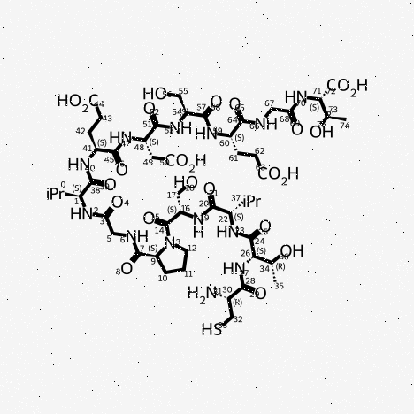 CC(C)[C@H](NC(=O)CNC(=O)[C@@H]1CCCN1C(=O)[C@H](CO)NC(=O)[C@@H](NC(=O)[C@@H](NC(=O)[C@@H](N)CS)[C@@H](C)O)C(C)C)C(=O)N[C@@H](CCC(=O)O)C(=O)N[C@@H](CC(=O)O)C(=O)N[C@@H](CO)C(=O)N[C@@H](CCC(=O)O)C(=O)NCC(=O)N[C@H](C(=O)O)[C@@H](C)O